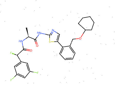 C[C@H](NC(=O)[C@H](F)c1cc(F)cc(F)c1)C(=O)Nc1ncc(-c2ccccc2COC2CCCCC2)s1